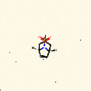 CC1C[C@@H]2C=C[C@@H](C1)N2[SH](=O)=O